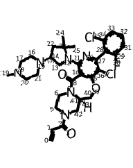 C=CC(=O)N1CCN2C(=O)c3c(N4C[C@@H](N5CCN(C)CC5)CC4(C)C)nc(-c4c(F)cccc4Cl)c(Cl)c3OC[C@H]2C1